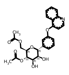 CC(=O)OC[C@H]1O[C@H](c2cccc(Oc3ccnc4ccccc34)c2)[C@@H](O)[C@@H](O)[C@@H]1OC(C)=O